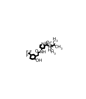 CC(C)C(C)(C)NC(=O)c1cc(NC(=O)Cc2cc(C(F)(F)F)ccc2O)ccn1